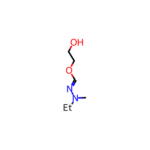 CCN(C)/N=C/OCCO